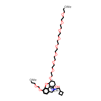 COCCOCCOCCOCCOCCOCCOCCOCCOCCO[C@H]1CC[C@@]2(O)[C@H]3Cc4ccc(OCOCCOC)c5c4[C@@]2(CCN3CC2CCC2)C1O5